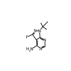 CC(C)(C)n1nc(F)c2c(N)ncnc21